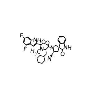 CN(C(=O)c1cc2c(F)cc(F)cc2[nH]1)[C@@H](CC1CCCCC1)C(=O)N1C[C@]2(C[C@H]1C#N)C(=O)Nc1ccccc12